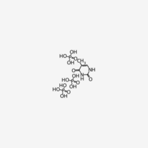 Cc1c[nH]c(=O)[nH]c1=O.O=P(O)(O)O.O=P(O)(O)O.O=P(O)(O)O